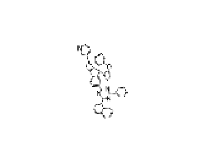 c1ccc(-c2nc(-c3ccc4c(c3)C3(c5ccccc5Oc5ccccc53)c3cc(-c5cccnc5)ccc3-4)nc(-c3cccc4ccccc34)n2)cc1